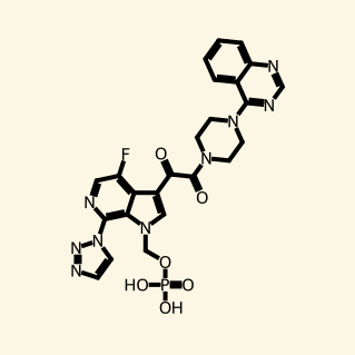 O=C(C(=O)N1CCN(c2ncnc3ccccc23)CC1)c1cn(COP(=O)(O)O)c2c(-n3ccnn3)ncc(F)c12